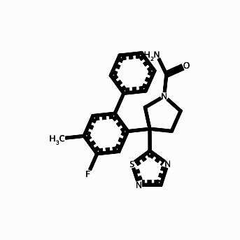 Cc1cc(-c2ccccc2)c(C2(c3ncns3)CCN(C(N)=O)C2)cc1F